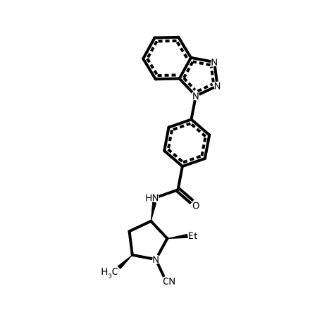 CC[C@@H]1[C@H](NC(=O)c2ccc(-n3nnc4ccccc43)cc2)C[C@H](C)N1C#N